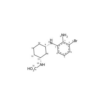 Nc1c(Br)cccc1N[C@H]1CCC[C@@H](NC(=O)O)C1